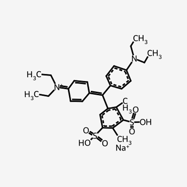 CCN(CC)c1ccc(C(=C2C=CC(=[N+](CC)CC)C=C2)c2cc(S(=O)(=O)O)c(C)c(S(=O)(=O)O)c2C)cc1.[Na+]